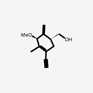 C#CC1=C(C)[C@@H](OC)C(=C)[C@H](CO)C1